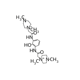 CN1CC[N+](C)(CC(=O)Nc2cccc(NC(=O)C[N+]3(C)CCN(C)CC3)c2O)CC1